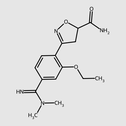 CCOc1cc(C(=N)N(C)C)ccc1C1=NOC(C(N)=O)C1